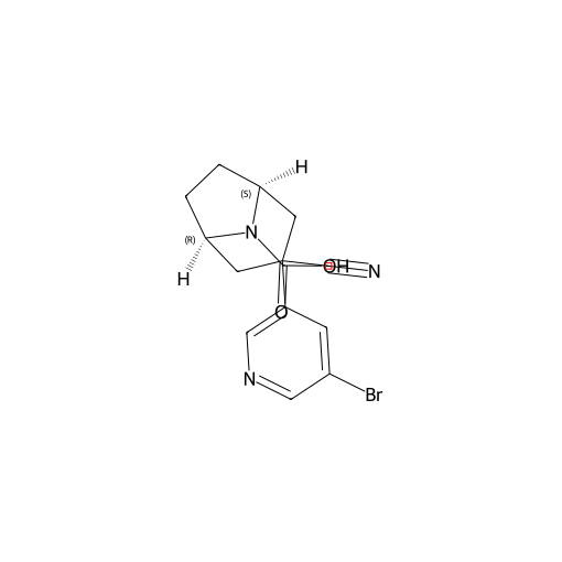 N#CC1(c2cncc(Br)c2)C[C@H]2CC[C@@H](C1)N2C(=O)O